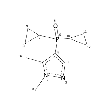 Cn1ncc(P(=O)(C2CC2)C2CC2)c1I